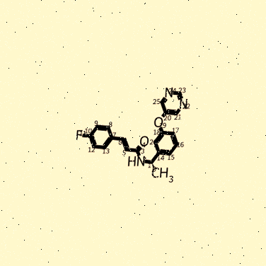 C[C@H](NC(=O)C=Cc1ccc(F)cc1)c1cccc(Oc2cncnc2)c1